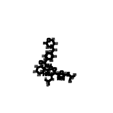 CC(C)CC(NC(=O)C1(NC(=O)c2ccc(CN3CCOCC3)cc2)CCCCC1)C(=O)c1nnc(SC(C)C)o1